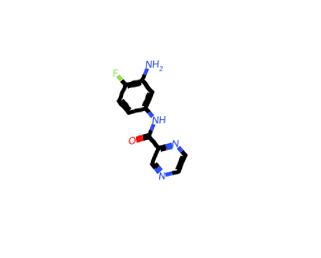 Nc1cc(NC(=O)c2cnccn2)ccc1F